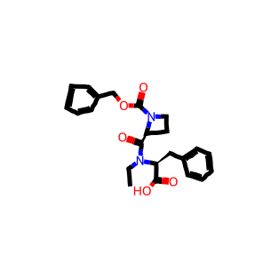 CCN(C(=O)[C@@H]1CCN1C(=O)OCc1ccccc1)[C@@H](Cc1ccccc1)C(=O)O